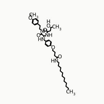 CCCCCCCCCCCCNC(=O)CCCOc1ccc(NC(NC(=O)CC(C)O)C(=O)NCCc2ccc(OC)cc2)cc1